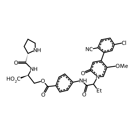 CCC(C(=O)Nc1ccc(C(=O)OC[C@H](NC(=O)[C@@H]2CCCN2)C(=O)O)cc1)n1cc(OC)c(-c2cc(Cl)ccc2C#N)cc1=O